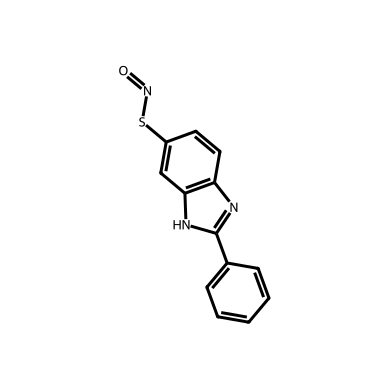 O=NSc1ccc2nc(-c3ccccc3)[nH]c2c1